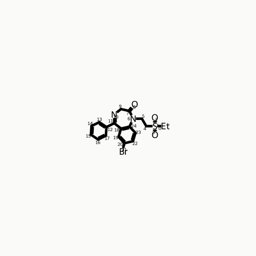 CCS(=O)(=O)CCN1C(=O)CN=C(c2ccccc2)c2cc(Br)ccc21